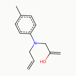 C=CCN(CC(=C)O)c1ccc(C)cc1